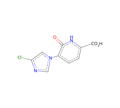 O=C(O)c1ccc(-n2cnc(Cl)c2)c(=O)[nH]1